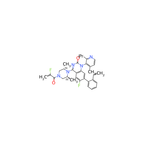 C=Cc1ccccc1-c1cc2c(cc1F)c(N1[C@@H](C)CN(C(=O)C(=C)F)C[C@@H]1C)nc(=O)n2-c1c(C)ccnc1C(C)C